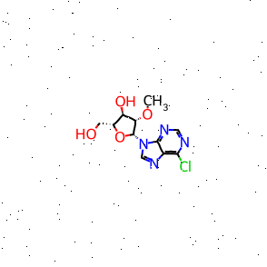 CO[C@H]1[C@H](O)[C@@H](CO)O[C@H]1n1cnc2c(Cl)ncnc21